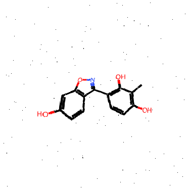 Cc1c(O)ccc(-c2noc3cc(O)ccc23)c1O